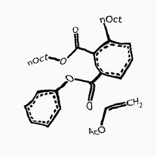 C=COC(C)=O.CCCCCCCCOC(=O)c1c(CCCCCCCC)cccc1C(=O)Oc1ccccc1